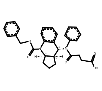 O=C(O)CCC(=O)N(c1ccccc1)[C@H]1c2ccccc2N(C(=O)OCc2ccccc2)[C@@H]2CCC[C@@H]21